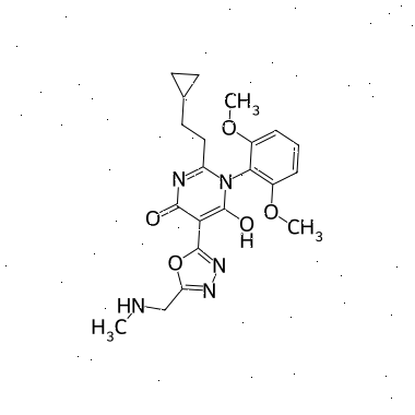 CNCc1nnc(-c2c(O)n(-c3c(OC)cccc3OC)c(CCC3CC3)nc2=O)o1